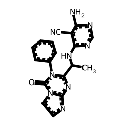 CC(Nc1ncnc(N)c1C#N)c1nc2nccn2c(=O)n1-c1ccccc1